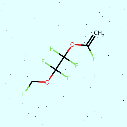 C=C(F)OC(F)(F)C(F)(F)OCF